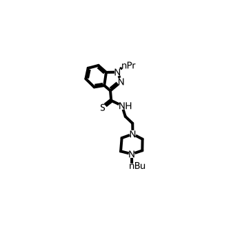 CCCCN1CCN(CCNC(=S)c2nn(CCC)c3ccccc23)CC1